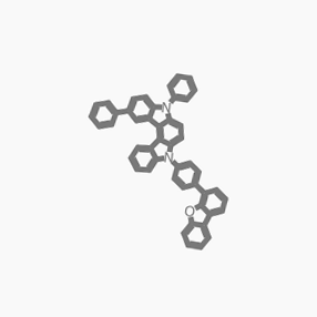 c1ccc(-c2ccc3c(c2)c2c4c5ccccc5n(-c5ccc(-c6cccc7c6oc6ccccc67)cc5)c4ccc2n3-c2ccccc2)cc1